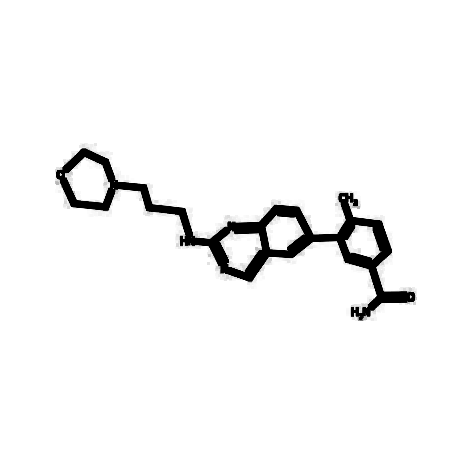 Cc1ccc(C(N)=O)cc1-c1ccc2nc(NCCCN3CCOCC3)ncc2c1